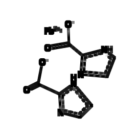 O=C([O-])c1ncc[nH]1.O=C([O-])c1ncc[nH]1.[Pb+2]